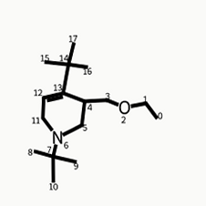 CCOCC1CN(C(C)(C)C)CC=C1C(C)(C)C